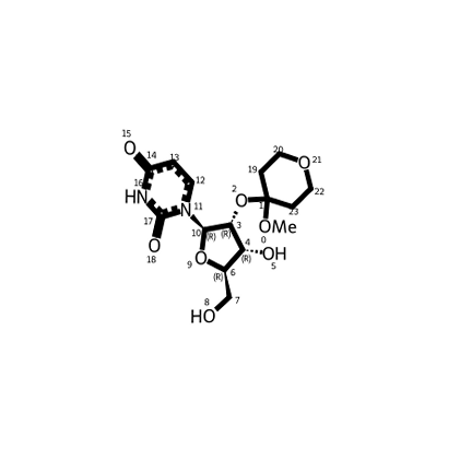 COC1(O[C@@H]2[C@H](O)[C@@H](CO)O[C@H]2n2ccc(=O)[nH]c2=O)CCOCC1